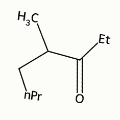 C[CH]CCC(C)C(=O)CC